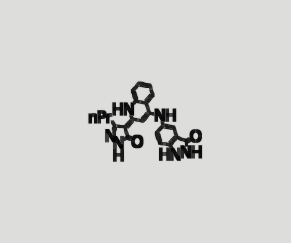 CCCC1=NNC(=O)C1=C1C=C(Nc2ccc3[nH][nH]c(=O)c3c2)c2ccccc2N1